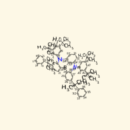 CC(C)(C)c1cc(N2c3cc(C(C)(C)c4ccccc4)ccc3B3c4ccc(C(C)(C)c5ccccc5)cc4N(c4cc(C(C)(C)C)cc(C(C)(C)C)c4)c4cccc2c43)cc(C(C)(C)C)c1